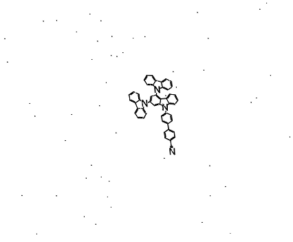 N#Cc1ccc(-c2ccc(-n3c4ccccc4c4c(-n5c6ccccc6c6ccccc65)cc(-n5c6ccccc6c6ccccc65)cc43)cc2)cc1